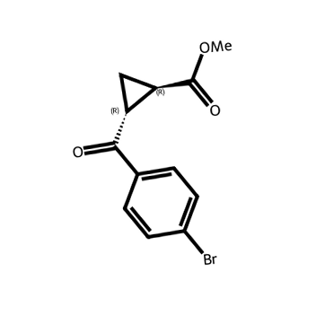 COC(=O)[C@@H]1C[C@H]1C(=O)c1ccc(Br)cc1